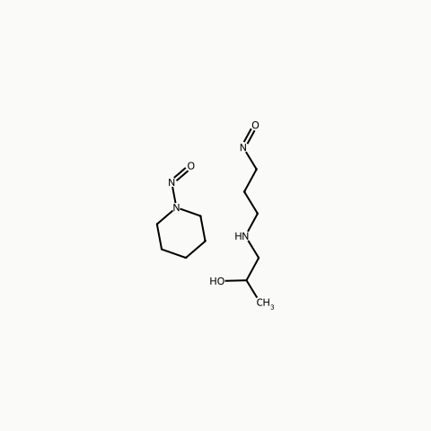 CC(O)CNCCCN=O.O=NN1CCCCC1